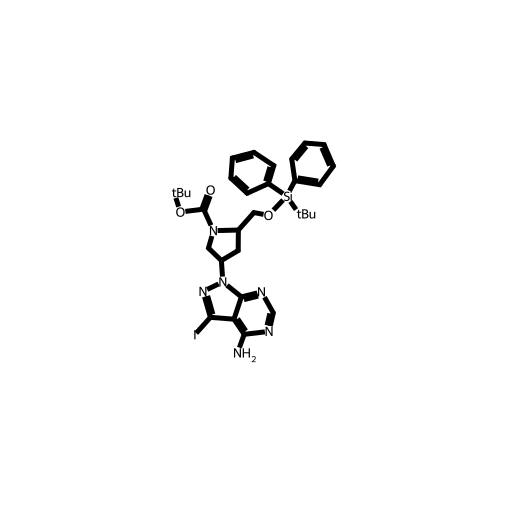 CC(C)(C)OC(=O)N1CC(n2nc(I)c3c(N)ncnc32)CC1CO[Si](c1ccccc1)(c1ccccc1)C(C)(C)C